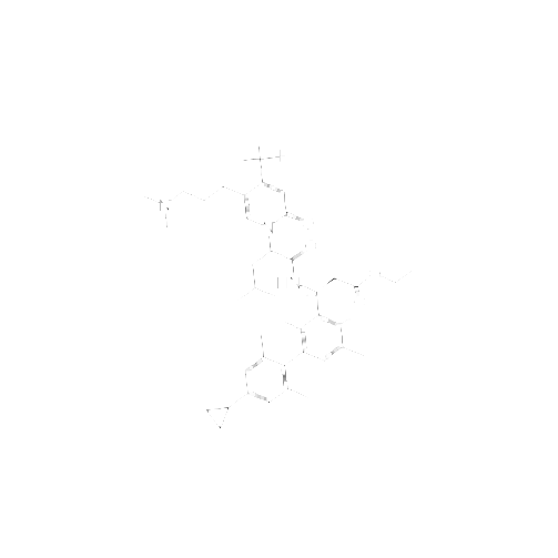 CCOC(=O)C[C@H](NC(=O)C(CC(C)C)n1cc(CCCN(C)C)c(C(F)(F)F)cc1=O)c1c(F)c(C)cc(-c2c(C)cc(C3CC3)cc2C)c1F